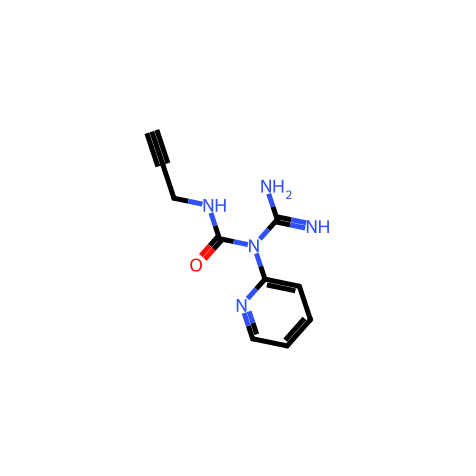 C#CCNC(=O)N(C(=N)N)c1ccccn1